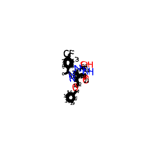 CC(c1ccc(C(F)(F)F)cc1)n1nc(COCc2ccccc2)c2c(=O)[nH]c(O)nc21